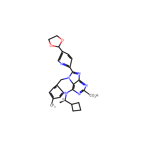 C[C@@H](Nc1nc(C(=O)O)nc2nc(-c3ccc(C4OCCO4)cn3)n(Cc3ccc(C(F)(F)F)cc3)c12)C1CCC1